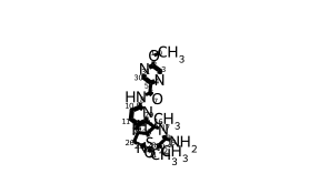 COc1cnc(C(=O)Nc2ccc(F)c([C@@]3(C)N=C(N)C(C)(C)[S@]4(=O)=NCC[C@H]34)n2)cn1